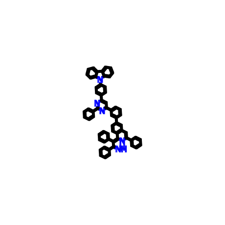 N=C(/C(=C1\NC(c2ccccc2)=Cc2cc(-c3cccc(-c4cc(-c5ccc(-n6c7ccccc7c7ccccc76)cc5)nc(-c5ccccc5)n4)c3)ccc21)c1ccccc1)c1ccccc1